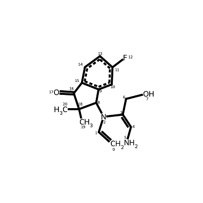 C=CN(/C(=C\N)CO)C1c2cc(F)ccc2C(=O)C1(C)C